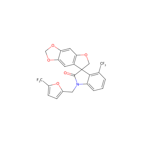 O=C1N(Cc2ccc(C(F)(F)F)o2)c2cccc(C(F)(F)F)c2C12COc1cc3c(cc12)OCO3